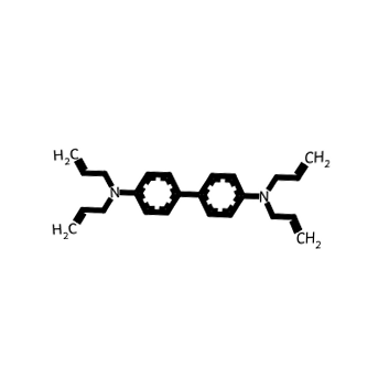 C=CCN(CC=C)c1ccc(-c2ccc(N(CC=C)CC=C)cc2)cc1